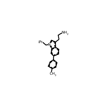 Cc1ccc(-c2ccc3c(CCN)cn(CC(C)C)c3c2)cc1